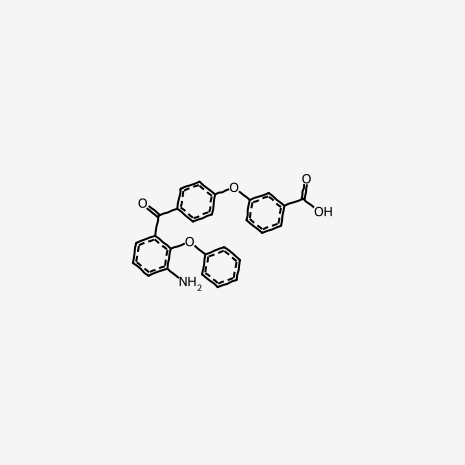 Nc1cccc(C(=O)c2ccc(Oc3cccc(C(=O)O)c3)cc2)c1Oc1ccccc1